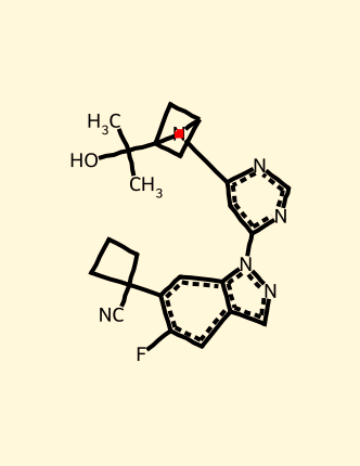 CC(C)(O)C12CC(C1)N(c1cc(-n3ncc4cc(F)c(C5(C#N)CCC5)cc43)ncn1)C2